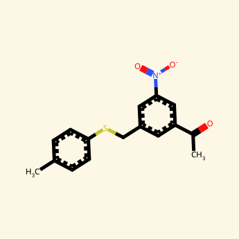 CC(=O)c1cc(CSc2ccc(C)cc2)cc([N+](=O)[O-])c1